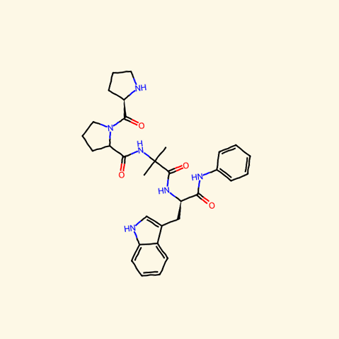 CC(C)(NC(=O)C1CCCN1C(=O)[C@H]1CCCN1)C(=O)N[C@H](Cc1c[nH]c2ccccc12)C(=O)Nc1ccccc1